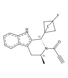 C#CC(=O)N1[C@@H](C)Cc2c([nH]c3ccccc23)[C@@H]1C12CC(F)(C1)C2